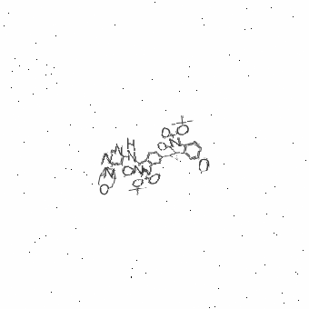 COc1ccc2c(c1)[C@]1(C[C@H]1c1ccc3c(Nc4ncnc(N5C6CCC5COC6)c4OC)nn(C(=O)OC(C)(C)C)c3c1)C(=O)N2C(=O)OC(C)(C)C